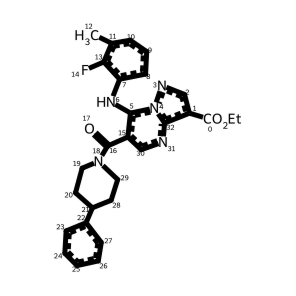 CCOC(=O)c1cnn2c(Nc3cccc(C)c3F)c(C(=O)N3CCC(c4ccccc4)CC3)cnc12